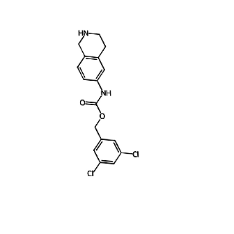 O=C(Nc1ccc2c(c1)CCNC2)OCc1cc(Cl)cc(Cl)c1